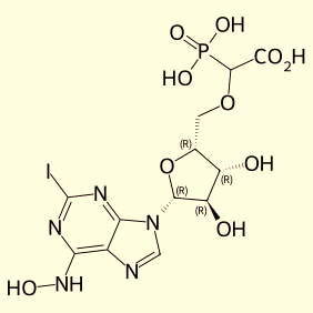 O=C(O)C(OC[C@H]1O[C@@H](n2cnc3c(NO)nc(I)nc32)[C@H](O)[C@H]1O)P(=O)(O)O